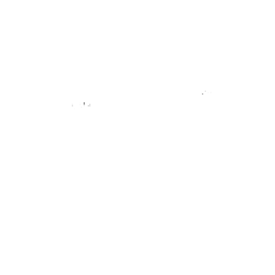 COC(=O)C1Cc2cccc3cc(OC)cc(c23)C1